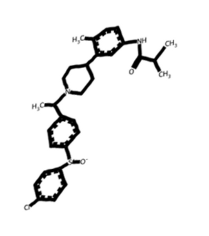 Cc1ccc(NC(=O)C(C)C)cc1C1CCN(C(C)c2ccc([S+]([O-])c3ccc(Cl)cc3)cc2)CC1